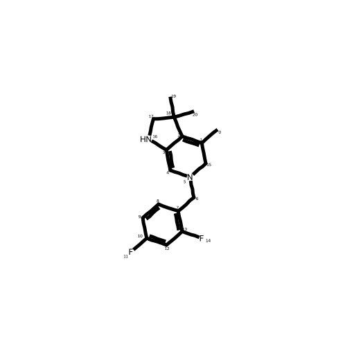 CC1=C2C(=CN(Cc3ccc(F)cc3F)C1)NCC2(C)C